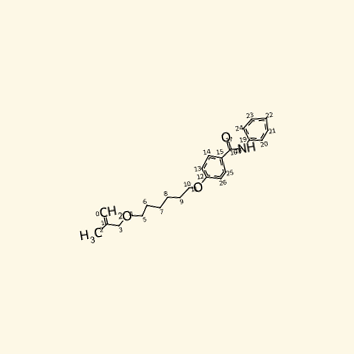 C=C(C)COCCCCCCOc1ccc(C(=O)Nc2ccccc2)cc1